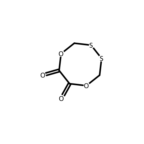 O=C1OCSSCOC1=O